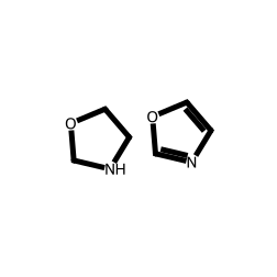 C1COCN1.c1cocn1